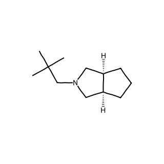 CC(C)(C)CN1C[C@H]2CCC[C@H]2C1